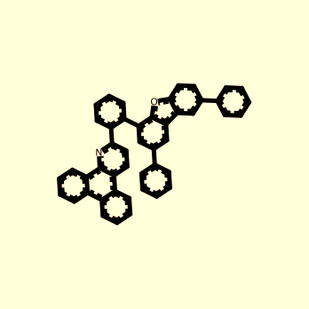 c1ccc(-c2ccc3oc4c(-c5ccccc5-c5ccc6c7ccccc7c7ccccc7c6n5)cc(-c5ccccc5)cc4c3c2)cc1